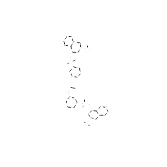 Cc1ccc(NC(=O)Nc2ccc(C)c(S(=O)(=O)Nc3cc(S(=O)(=O)O)cc4ccc(O)cc34)c2)cc1S(=O)(=O)Nc1cc(S(=O)(=O)O)cc2ccc(O)cc12